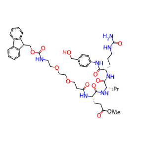 COC(=O)CC[C@H](NC(=O)CCOCCOCCNC(=O)OCC1c2ccccc2-c2ccccc21)C(=O)N[C@H](C(=O)N[C@@H](CCCNC(N)=O)C(=O)Nc1ccc(CO)cc1)C(C)C